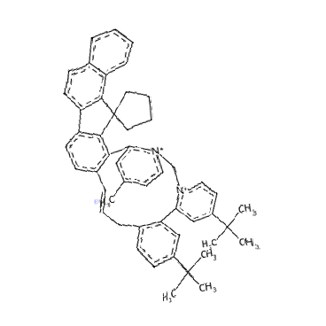 Cc1cc[n+]2c(c1)-c1c(ccc3c1C1(CCCC1)c1c-3ccc3ccccc13)/C=C/Cc1ccc(C(C)(C)C)cc1-c1cc(C(C)(C)C)cc[n+]1C2